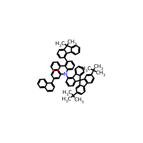 CC(C)(C)c1ccc2c(c1)C1(c3cc(C(C)(C)C)ccc3-2)c2ccccc2-c2c(N(c3cccc(-c4cccc5ccccc45)c3)c3cccc(-c4cccc5c4-c4ccccc4C5(C)C)c3-c3ccccc3)cccc21